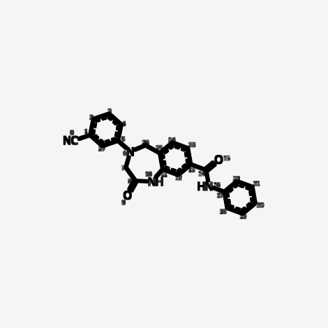 N#Cc1cccc(N2CC(=O)Nc3cc(C(=O)Nc4ccccc4)ccc3C2)c1